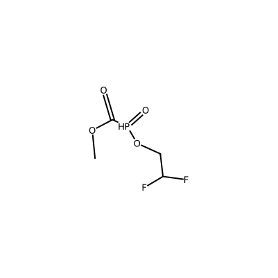 COC(=O)[PH](=O)OCC(F)F